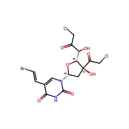 O=C(CCl)C(O)[C@H]1O[C@@H](n2cc(C=CBr)c(=O)[nH]c2=O)C[C@@]1(O)C(=O)CCl